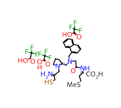 CSCC[C@H](NC(=O)CN(Cc1cccc2ccccc12)C[C@@H]1CCCN1C[C@@H](N)CS)C(=O)O.O=C(O)C(F)(F)F.O=C(O)C(F)(F)F.O=C(O)C(F)(F)F